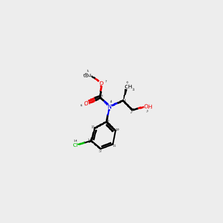 C[C@@H](CO)N(C(=O)OC(C)(C)C)c1cccc(Cl)c1